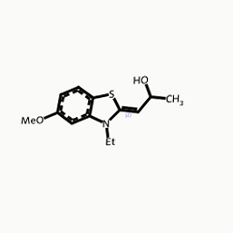 CCN1/C(=C/C(C)O)Sc2ccc(OC)cc21